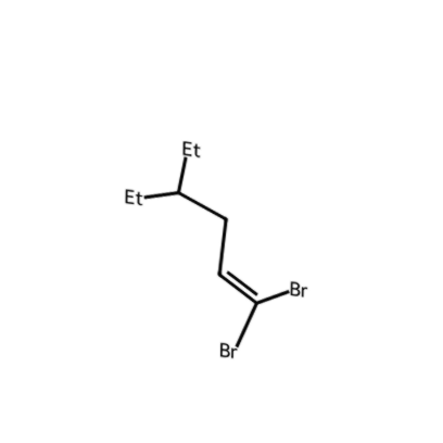 CCC(CC)CC=C(Br)Br